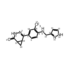 O=C1NN=C(c2ccc(NCc3cc[nH]n3)c(C(F)(F)F)c2)C2CC12